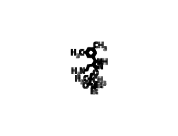 CCN(CC)C(=O)C(C)(C)COc1n[nH]c(-c2cc(C)cc(C)c2)c1CCN